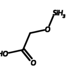 O=C(O)CO[SiH3]